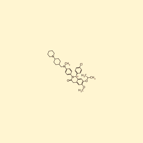 COc1cc2c(cc1OC(C)C)[C@H](c1ccc(Cl)cc1)N(c1ccc(N(C)CC3CCC(N4CCCCC4)CC3)cc1)C(=O)C2